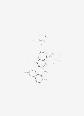 C=Cc1c(F)ccc2cc(O)cc(-c3nc4c5c(nc(OC[C@@]67CCCN6C[C@H](F)C7)nc5c3F)N(C)[C@@H]([C@@H](C)O)CC4)c12